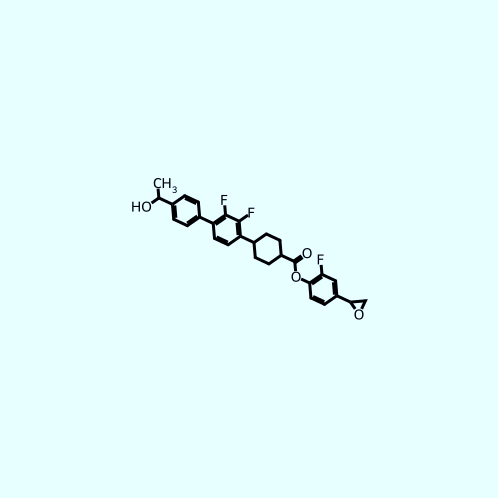 CC(O)c1ccc(-c2ccc(C3CCC(C(=O)Oc4ccc(C5CO5)cc4F)CC3)c(F)c2F)cc1